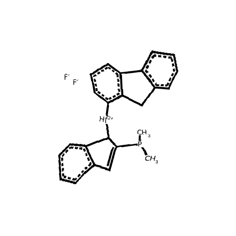 CP(C)C1=Cc2ccccc2[CH]1[Hf+2][c]1cccc2c1Cc1ccccc1-2.[F-].[F-]